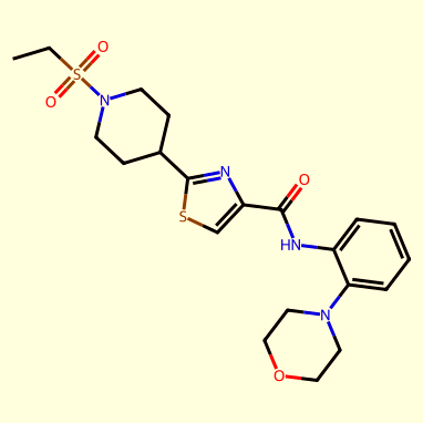 CCS(=O)(=O)N1CCC(c2nc(C(=O)Nc3ccccc3N3CCOCC3)cs2)CC1